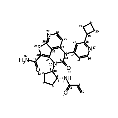 C=CC(=O)N[C@@H]1CCC[C@H]1N1C(=O)N(c2ccnc(C3CCC3)c2)c2ccnc3sc(C(N)=O)c1c23